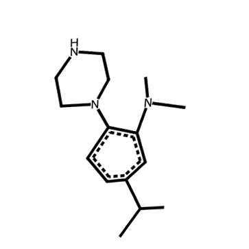 CC(C)c1ccc(N2CCNCC2)c(N(C)C)c1